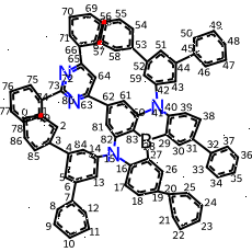 c1ccc(-c2cc(-c3ccccc3)cc(N3c4ccc(-c5ccccc5)cc4B4c5cc(-c6ccccc6)ccc5N(c5cc(-c6ccccc6)cc(-c6ccccc6)c5)c5cc(-c6cc(-c7ccccc7)nc(-c7ccccc7)n6)cc3c54)c2)cc1